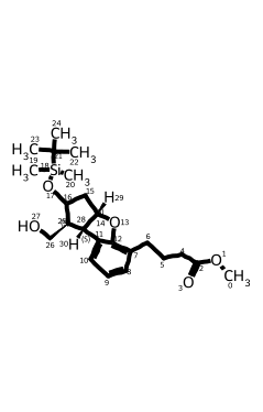 COC(=O)CCCc1cccc2c1O[C@H]1CC(O[Si](C)(C)C(C)(C)C)[C@H](CO)[C@@H]21